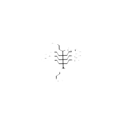 CCCCCCCCCCCCOC(=O)C(CCCCCCCCCCCC)(CCCCCCCCCCCC)C(CCCCCCCCCCCC)(CCCCCCCCCCCC)C(CCCCCCCCCCCC)(CCCCCCCCCCCC)C(CCCCCCCCC)CCCCCCCCCCCC